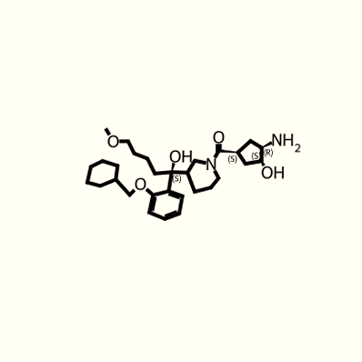 COCCCC[C@@](O)(c1ccccc1OCC1CCCCC1)C1CCCN(C(=O)[C@H]2C[C@@H](N)[C@@H](O)C2)C1